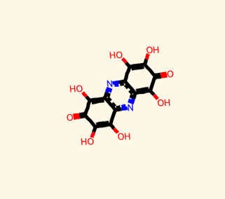 O=C1C(O)=C(O)c2nc3c(nc2=C1O)C(O)=C(O)C(=O)C=3O